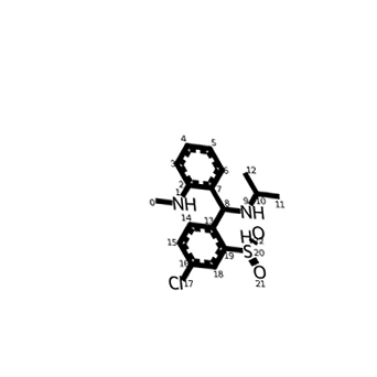 CNc1ccccc1C(NC(C)C)c1ccc(Cl)cc1[SH](=O)=O